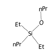 CCCO[Si](CC)(CC)CCC